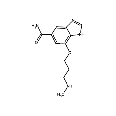 CNCCCOc1cc(C(N)=O)cc2nc[nH]c12